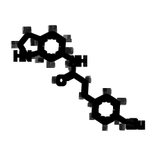 CC(C)(C)c1ccc(C=CC(=O)Nc2ccc3c(c2)NCC3)cc1